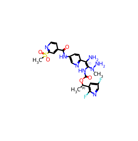 C[C@@H](OC(=O)N/C(=C(/N)c1ccc(NC(=O)c2ccnc(S(C)(=O)=O)c2)cn1)N(C)N)c1cc(F)cnc1F